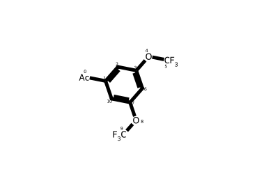 CC(=O)c1cc(OC(F)(F)F)cc(OC(F)(F)F)c1